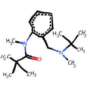 CN(C(=O)C(C)(C)C)c1ccccc1CN(C)C(C)(C)C